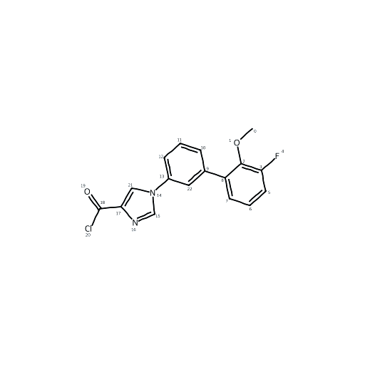 COc1c(F)cccc1-c1cccc(-n2cnc(C(=O)Cl)c2)c1